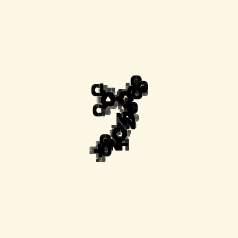 COS(=O)(=O)Cc1cc(Oc2cnc(N3CCC(NC(=O)OC(C)(C)C)CC3)nc2)nc(-c2cc(Cl)cc(Cl)c2)c1